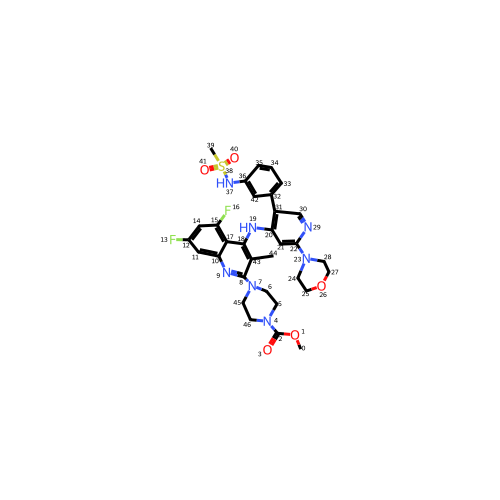 COC(=O)N1CCN(c2nc3cc(F)cc(F)c3c(Nc3cc(N4CCOCC4)ncc3-c3cccc(NS(C)(=O)=O)c3)c2C)CC1